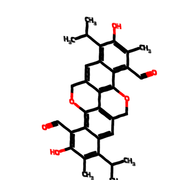 Cc1c(O)c(C=O)c2c3c4c(cc2c1C(C)C)COc1c-4c(cc2c(C(C)C)c(O)c(C)c(C=O)c12)CO3